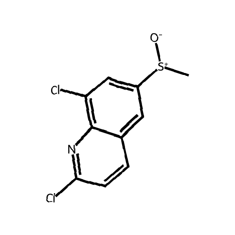 C[S+]([O-])c1cc(Cl)c2nc(Cl)ccc2c1